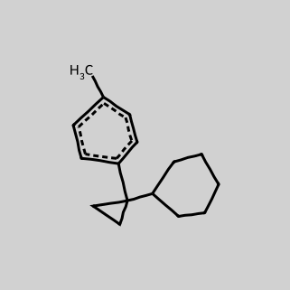 Cc1ccc(C2(C3CCCCC3)CC2)cc1